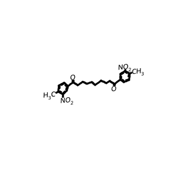 Cc1ccc(C(=O)CCCCCCCCC(=O)c2ccc(C)c([N+](=O)[O-])c2)cc1[N+](=O)[O-]